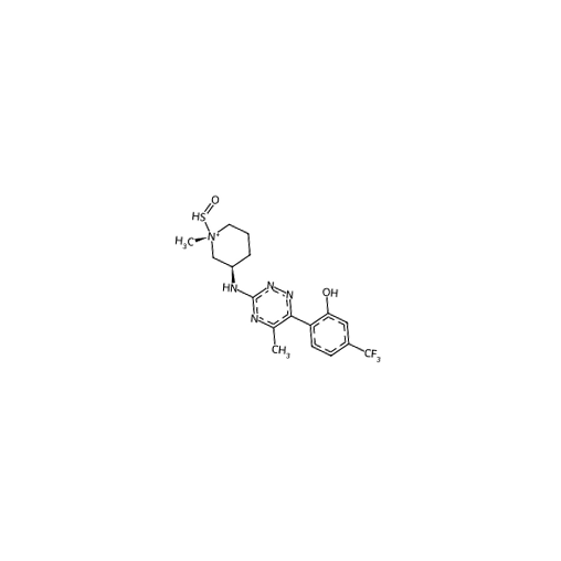 Cc1nc(N[C@@H]2CCC[N@@+](C)([SH]=O)C2)nnc1-c1ccc(C(F)(F)F)cc1O